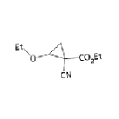 CCOC(=O)C1(C#N)CC1OCC